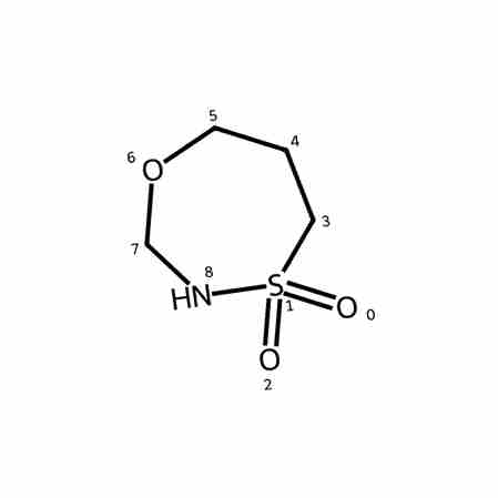 O=S1(=O)CCCOCN1